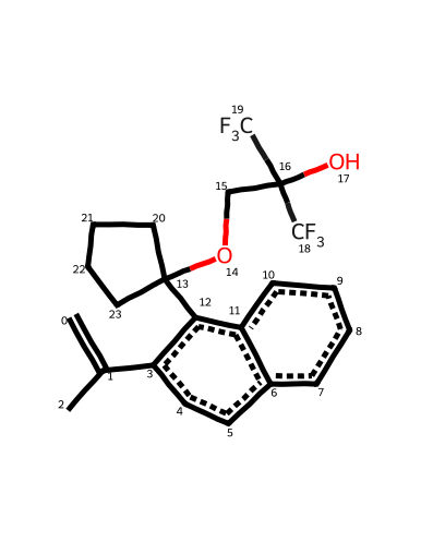 C=C(C)c1ccc2ccccc2c1C1(OCC(O)(C(F)(F)F)C(F)(F)F)CCCC1